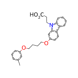 Cc1cccc(OCCCCOc2ccc3c4ccccc4n(CCC(=O)O)c3c2)c1